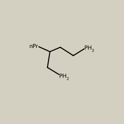 CCCC(CP)CCP